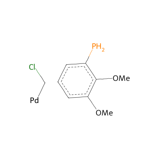 COc1cccc(P)c1OC.Cl[CH2][Pd]